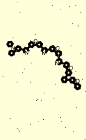 c1ccc(-n2c3ccccc3c3cc(-c4cncc(-c5ccc6oc7ccc(-c8cncc(-c9ccc%10oc%11ccc(-c%12cncc(-c%13ccc%14oc%15ccc(-c%16ccccc%16-c%16ccc%17oc%18ccccc%18c%17c%16)cc%15c%14c%13)c%12)cc%11c%10c9)c8)cc7c6c5)c4)ccc32)cc1